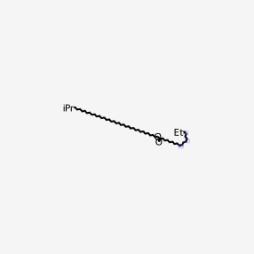 CC/C=C\C/C=C\C/C=C\CCCCCCCC(=O)OCCCCCCCCCCCCCCCCCCCCCCCCCCCCCCCCCCC(C)C